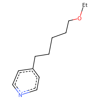 [CH2]COCCCCCc1ccncc1